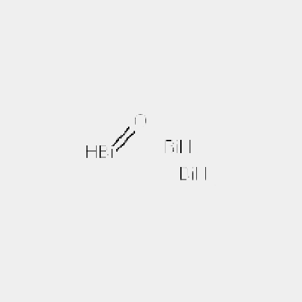 [BiH3].[BiH3].[O]=[BiH]